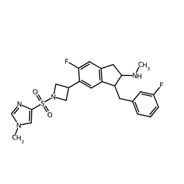 CNC1Cc2cc(F)c(C3CN(S(=O)(=O)c4cn(C)cn4)C3)cc2C1Cc1cccc(F)c1